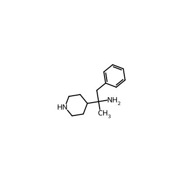 CC(N)(Cc1ccccc1)C1CCNCC1